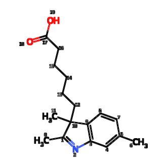 CC1=Nc2cc(C)ccc2C1(C)CCCCCC(=O)O